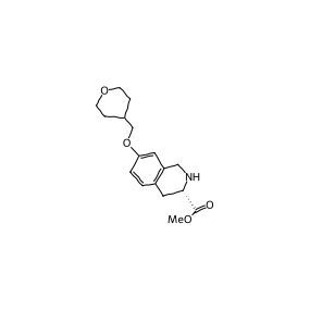 COC(=O)[C@@H]1Cc2ccc(OCC3CCOCC3)cc2CN1